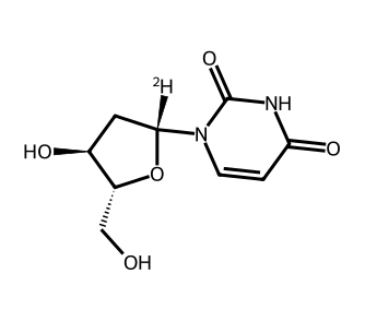 [2H][C@]1(n2ccc(=O)[nH]c2=O)C[C@H](O)[C@@H](CO)O1